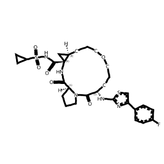 O=C1N[C@]2(C(=O)NS(=O)(=O)C3CC3)C[C@H]2CCCOCCC[C@H](Nc2nc(-c3ccc(F)cc3)cs2)C(=O)N2C[C]C[C@@H]12